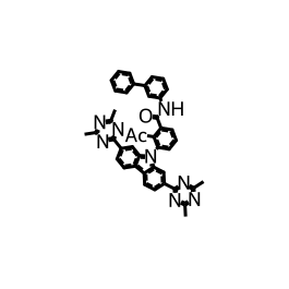 CC(=O)c1c(C(=O)Nc2cccc(-c3ccccc3)c2)cccc1-n1c2cc(-c3nc(C)nc(C)n3)ccc2c2ccc(-c3nc(C)nc(C)n3)cc21